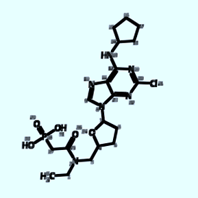 CCN(CC1CCC(n2cnc3c(NC4CCCC4)nc(Cl)nc32)O1)C(=O)CP(=O)(O)O